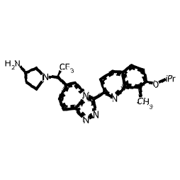 Cc1c(OC(C)C)ccc2ccc(-c3nnc4ccc([C@@H](N5CCC(N)C5)C(F)(F)F)cn34)nc12